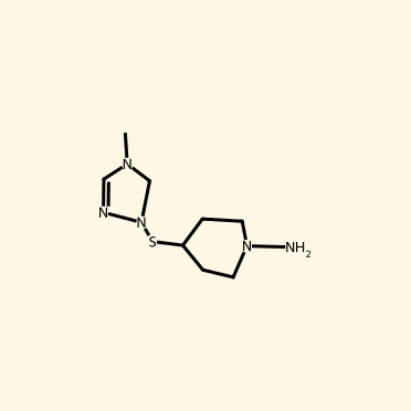 CN1C=NN(SC2CCN(N)CC2)C1